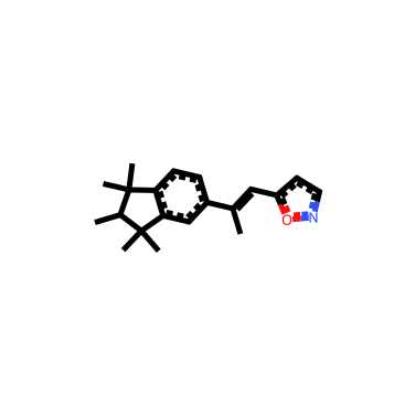 CC(=Cc1ccno1)c1ccc2c(c1)C(C)(C)C(C)C2(C)C